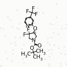 CC(C)(C)OC(=O)N1C[C@H](Oc2cc(C(F)(F)F)ccn2)C(F)(F)C1